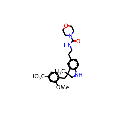 COc1cc(C(=O)O)ccc1CC1(C)CNc2ccc(CCNC(=O)N3CCOCC3)cc21